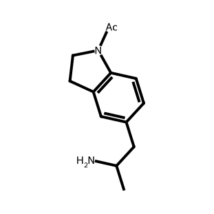 CC(=O)N1CCc2cc(CC(C)N)ccc21